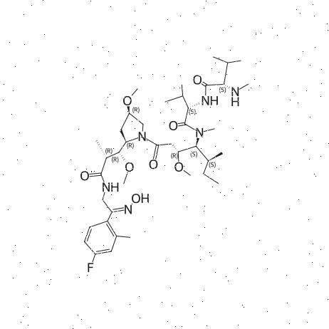 CC[C@H](C)[C@@H]([C@@H](CC(=O)N1C[C@H](OC)C[C@@H]1[C@H](OC)[C@@H](C)C(=O)NCC(=NO)c1ccc(F)cc1C)OC)N(C)C(=O)[C@@H](NC(=O)[C@@H](NC)C(C)C)C(C)C